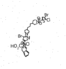 O=C(O)C1Cc2ccccc2CN1S(=O)(=O)c1cnc(N2CCC(CCCC3CCN(S(=O)(=O)c4cc(Br)c(Cl)s4)CC3)CC2)c(Br)c1